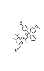 COc1ccc(C(OCC(C)OP(OCCC#N)N(C(C)C)C(C)C)(c2ccccc2)c2ccc(OC)cc2)cc1